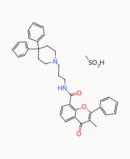 CS(=O)(=O)O.Cc1c(-c2ccccc2)oc2c(C(=O)NCCCN3CCC(c4ccccc4)(c4ccccc4)CC3)cccc2c1=O